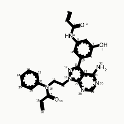 C=CC(=O)Nc1cc(O)cc(-c2nn(CCN(C(=O)C=C)c3ccccc3)c3ncnc(N)c23)c1